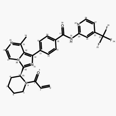 C=CC(=O)N1CCCC[C@H]1c1nc(-c2ccc(C(=O)Nc3cc(C(F)(F)F)ccn3)cc2)c2c(C)nccn12